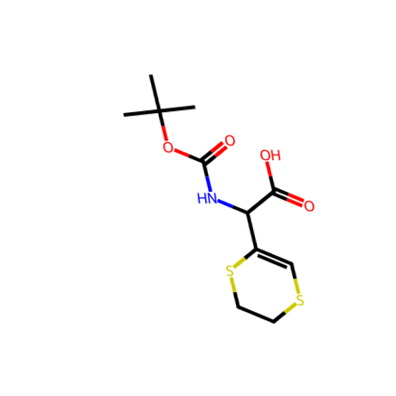 CC(C)(C)OC(=O)NC(C(=O)O)C1=CSCCS1